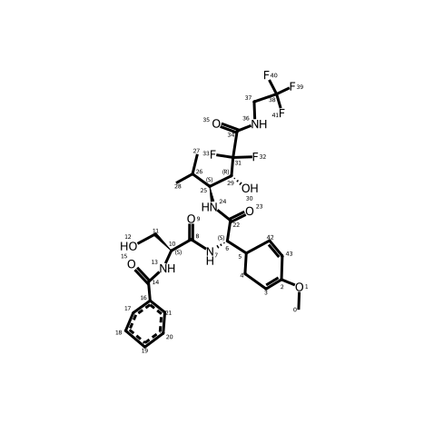 COC1=CCC([C@H](NC(=O)[C@H](CO)NC(=O)c2ccccc2)C(=O)N[C@@H](C(C)C)[C@@H](O)C(F)(F)C(=O)NCC(F)(F)F)C=C1